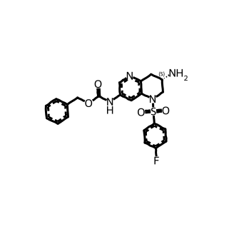 N[C@H]1Cc2ncc(NC(=O)OCc3ccccc3)cc2N(S(=O)(=O)c2ccc(F)cc2)C1